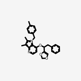 Cc1ccc(Cn2c(C)c(C)c3nccc(OC(Cc4ccccc4)C4=COCO4)c32)cc1